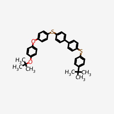 CC(C)(C)Oc1ccc(Oc2ccc(Sc3ccc(-c4ccc(Sc5ccc(C(C)(C)C)cc5)cc4)cc3)cc2)cc1